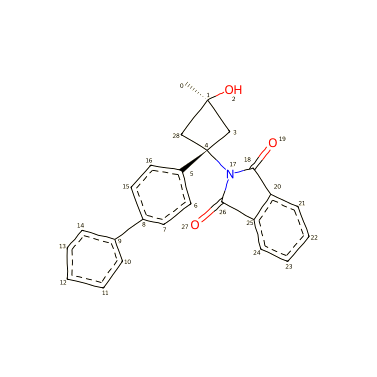 C[C@]1(O)C[C@](c2ccc(-c3ccccc3)cc2)(N2C(=O)c3ccccc3C2=O)C1